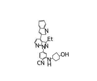 CCc1nn(-c2ccc(C#N)c(NC3CCC(O)CC3)c2)c2nccc(-c3cnc4ccccc4c3)c12